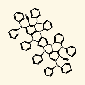 N#Cc1c(N(c2ccccc2)c2ccccc2)cc2c3c1N(c1ccccc1)c1ccccc1B3c1cc3c(cc1N2c1ccccc1)N(c1ccccc1)c1cc(N(c2ccccc2)c2ccccc2)c(C#N)c2c1B3c1ccccc1N2c1ccccc1